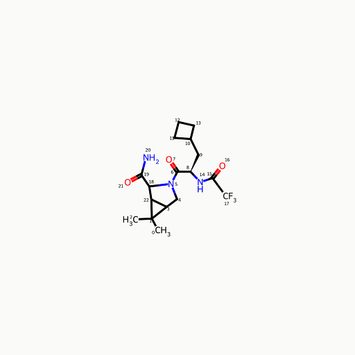 CC1(C)C2CN(C(=O)[C@@H](CC3CCC3)NC(=O)C(F)(F)F)C(C(N)=O)C21